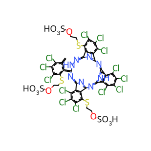 C=c1c(Cl)c(Cl)c(Cl)c(SCCOS(=O)(=O)O)/c1=C1\N=C2N=C(/N=c3\[nH]/c(c4c(Cl)c(Cl)c(Cl)c(Cl)c34)=N\C3=NC(=N\N1)/c1c(SCCOS(=O)(=O)O)c(Cl)c(Cl)c(Cl)c13)c1c(SCCOS(=O)(=O)O)c(Cl)c(Cl)c(Cl)c1/2